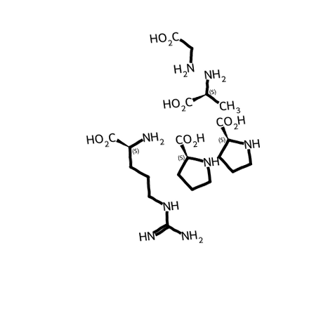 C[C@H](N)C(=O)O.N=C(N)NCCC[C@H](N)C(=O)O.NCC(=O)O.O=C(O)[C@@H]1CCCN1.O=C(O)[C@@H]1CCCN1